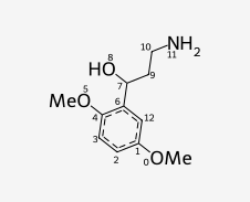 COc1ccc(OC)c(C(O)CCN)c1